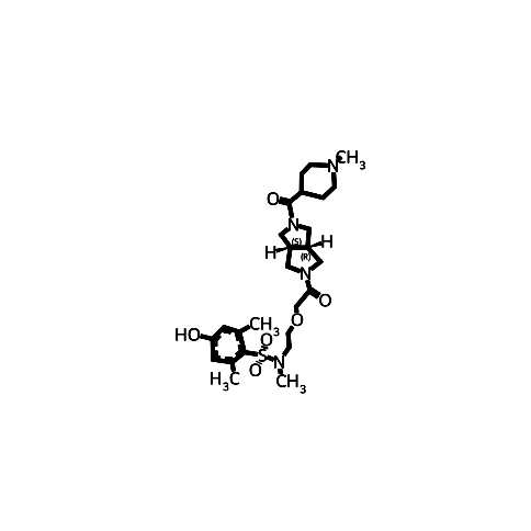 Cc1cc(O)cc(C)c1S(=O)(=O)N(C)CCOCC(=O)N1C[C@@H]2CN(C(=O)C3CCN(C)CC3)C[C@@H]2C1